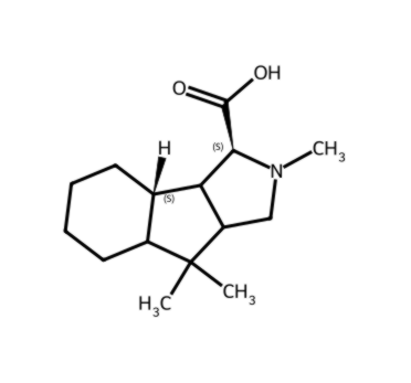 CN1CC2C([C@H]3CCCCC3C2(C)C)[C@H]1C(=O)O